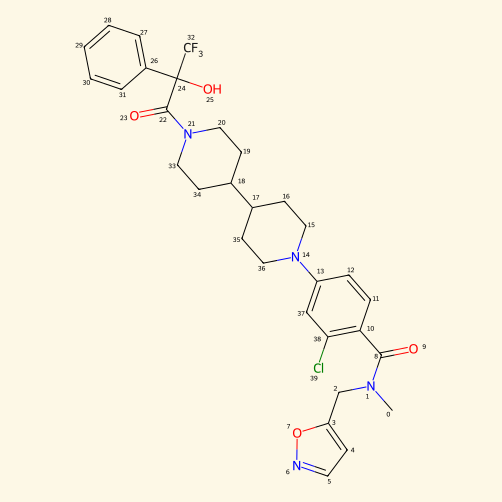 CN(Cc1ccno1)C(=O)c1ccc(N2CCC(C3CCN(C(=O)C(O)(c4ccccc4)C(F)(F)F)CC3)CC2)cc1Cl